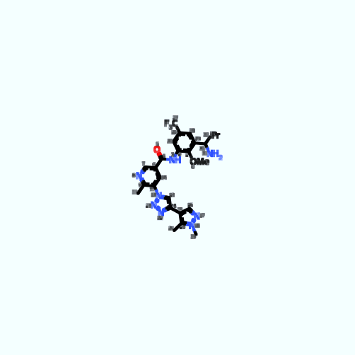 COc1c(NC(=O)c2cnc(C)c(-n3cc(-c4cnn(C)c4C)nn3)c2)cc(C(F)(F)F)cc1C(N)C(C)C